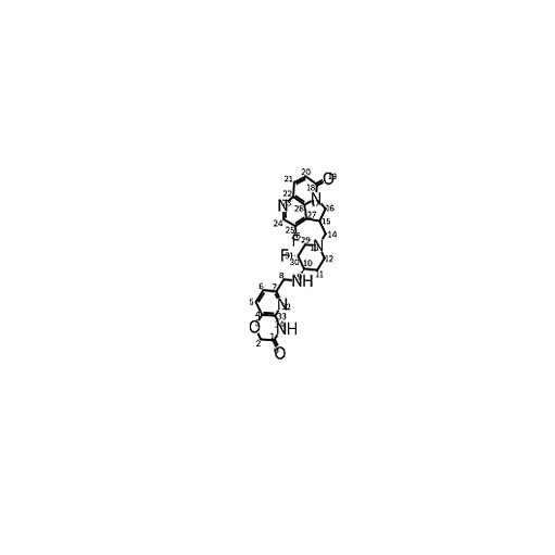 O=C1COc2ccc(CN[C@H]3CCN(CC4Cn5c(=O)ccc6ncc(F)c4c65)C[C@H]3F)nc2N1